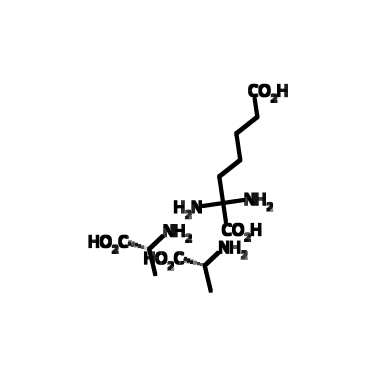 C[C@@H](N)C(=O)O.C[C@@H](N)C(=O)O.NC(N)(CCCCC(=O)O)C(=O)O